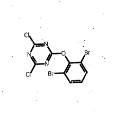 Clc1nc(Cl)nc(Oc2c(Br)cccc2Br)n1